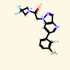 Cc1cccc(-c2cnc3cnn(CC(=O)N4CC(F)(F)C4)c3c2)c1F